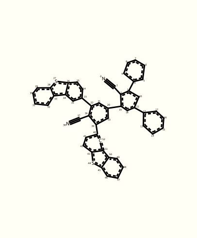 N#Cc1c(-c2ccccc2)cc(-c2ccccc2)cc1-c1cc(-c2ccc3sc4ccccc4c3c2)c(C#N)c(-c2ccc3sc4ccccc4c3c2)c1